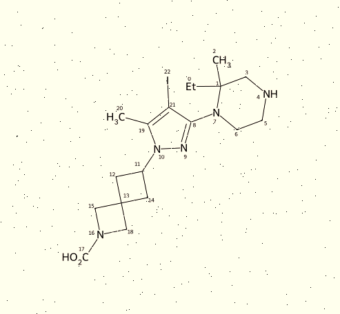 CCC1(C)CNCCN1c1nn(C2CC3(C2)CN(C(=O)O)C3)c(C)c1I